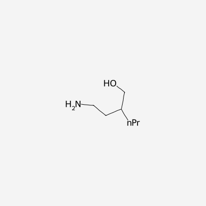 CCCC(CO)CCN